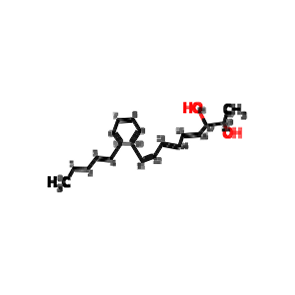 C/C=C/C=C/c1ccccc1\C=C/C=C/C=C/C(O)C(C)O